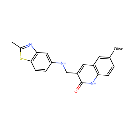 COc1ccc2[nH]c(=O)c(CNc3ccc4sc(C)nc4c3)cc2c1